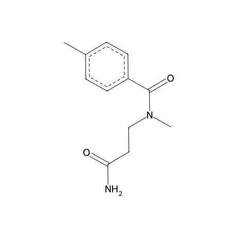 Cc1ccc(C(=O)N(C)CCC(N)=O)cc1